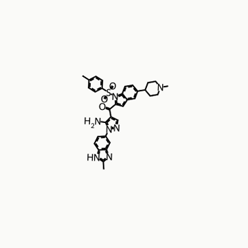 Cc1ccc(S(=O)(=O)n2c(C(=O)c3cnn(-c4ccc5[nH]c(C)nc5c4)c3N)cc3cc(C4CCN(C)CC4)ccc32)cc1